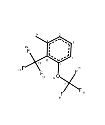 Cc1cccc(OC(F)(F)F)c1C(F)(F)F